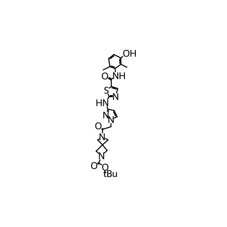 Cc1ccc(O)c(C)c1NC(=O)c1cnc(Nc2ccn(CC(=O)N3CC4(C3)CN(C(=O)OC(C)(C)C)C4)n2)s1